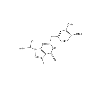 CCCCCCC(CC)n1nc(C)c2c(=O)[nH]c(Cc3ccc(OC)c(OC)c3)nc21